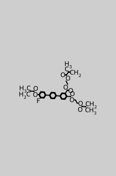 C=C(C)C(=O)OCCOC(=O)c1ccc(-c2ccc(-c3ccc(OC(=O)C(=C)C)c(F)c3)cc2)cc1C(=O)OCCOC(=O)C(=C)C